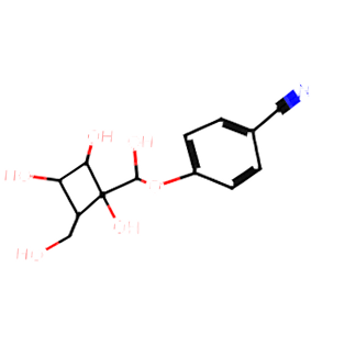 N#Cc1ccc(OC(O)C2(O)C(O)C(O)C2CO)cc1